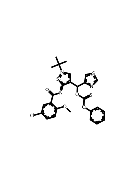 COc1ccc(Cl)cc1C(=O)/N=c1\sn(C(C)(C)C)cc1C(OC(=S)Oc1ccccc1)c1cscn1